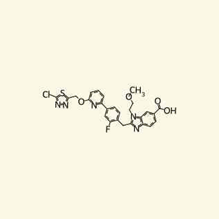 COCCn1c(Cc2ccc(-c3cccc(OCc4nnc(Cl)s4)n3)cc2F)nc2ccc(C(=O)O)cc21